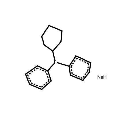 [NaH].c1ccc(P(c2ccccc2)C2CCCCC2)cc1